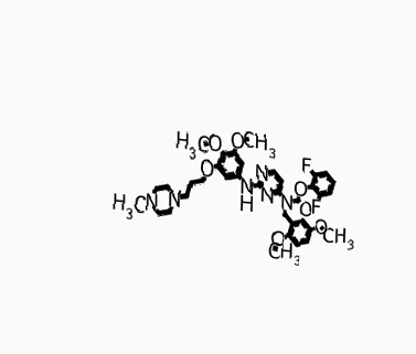 COc1ccc(OC)c(CN(C(=O)Oc2c(F)cccc2F)c2ccnc(Nc3cc(OC)c(OC)c(OCCCN4CCN(C)CC4)c3)n2)c1